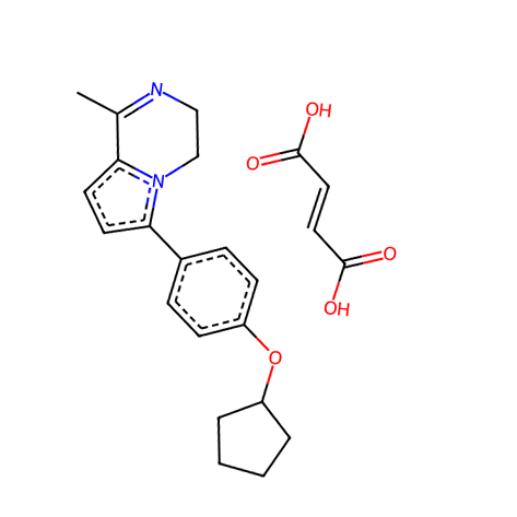 CC1=NCCn2c1ccc2-c1ccc(OC2CCCC2)cc1.O=C(O)/C=C/C(=O)O